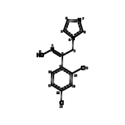 O/N=C(/Cn1ccnc1)c1ccc(Cl)cc1Cl